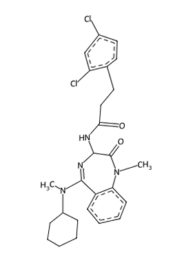 CN1C(=O)C(NC(=O)CCc2ccc(Cl)cc2Cl)N=C(N(C)C2CCCCC2)c2ccccc21